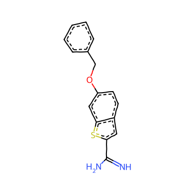 N=C(N)c1cc2ccc(OCc3ccccc3)cc2s1